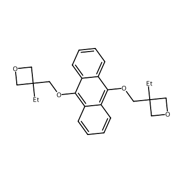 CCC1(COc2c3ccccc3c(OCC3(CC)COC3)c3ccccc23)COC1